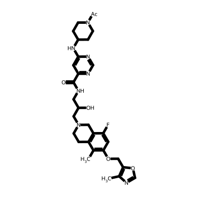 CC(=O)N1CCC(Nc2cc(C(=O)NCC(O)CN3CCc4c(C)c(OCc5ocnc5C)cc(F)c4C3)ncn2)CC1